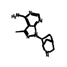 Cc1nn(C2CC3CNC2C3)c2ncnc(N)c12